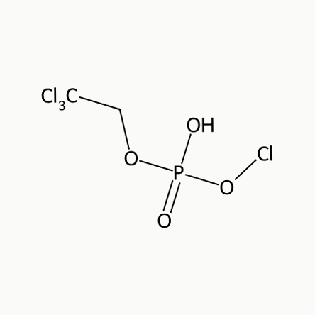 O=P(O)(OCl)OCC(Cl)(Cl)Cl